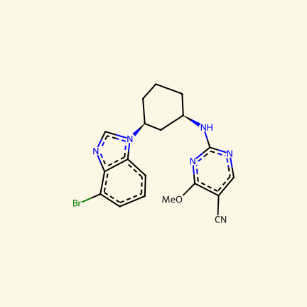 COc1nc(N[C@@H]2CCC[C@H](n3cnc4c(Br)cccc43)C2)ncc1C#N